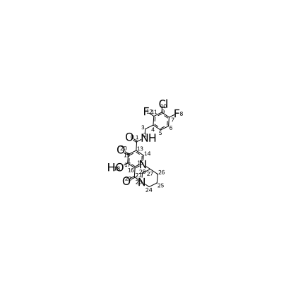 O=C(NCc1ccc(F)c(Cl)c1F)c1cn2c(c(O)c1=O)C(=O)N1CCCC2C1